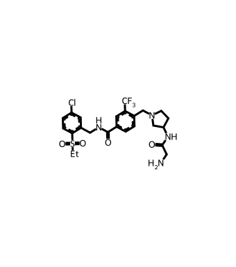 CCS(=O)(=O)c1ccc(Cl)cc1CNC(=O)c1ccc(CN2CCC(NC(=O)CN)C2)c(C(F)(F)F)c1